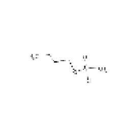 CCCC[O][Sn]([CH3])([Cl])[Cl]